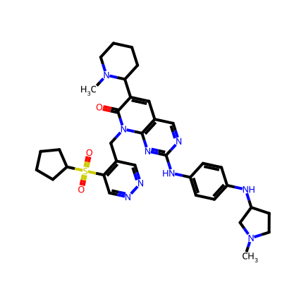 CN1CCC(Nc2ccc(Nc3ncc4cc(C5CCCCN5C)c(=O)n(Cc5cnncc5S(=O)(=O)C5CCCC5)c4n3)cc2)C1